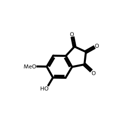 COc1cc2c(=O)c(=O)c(=O)c2cc1O